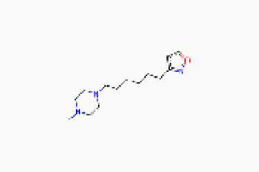 CN1CCN(CCCCCCc2ccon2)CC1